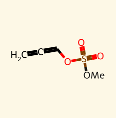 C=C=COS(=O)(=O)OC